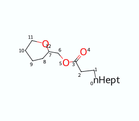 CCCCCCCCCC(=O)OCC1CCCCO1